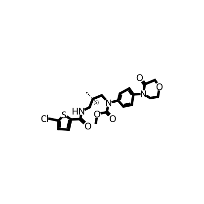 COC(=O)N(C[C@@H](C)CNC(=O)c1ccc(Cl)s1)c1ccc(N2CCOCC2=O)cc1